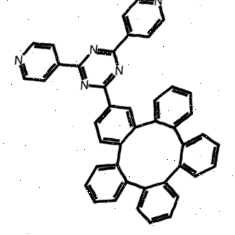 c1ccc2c(c1)c1ccccc1c1ccccc1c1cc(-c3nc(-c4ccncc4)nc(-c4ccncc4)n3)ccc1c1ccccc21